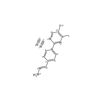 C#N.C#N.Cc1nc(-c2ccc(C=NN)cc2)ncc1F